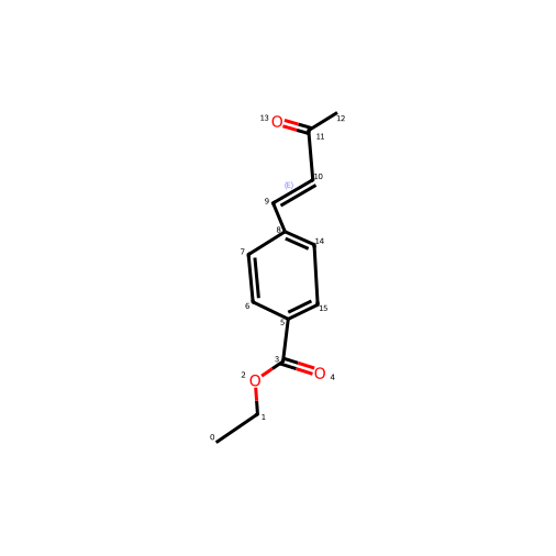 CCOC(=O)c1ccc(/C=C/C(C)=O)cc1